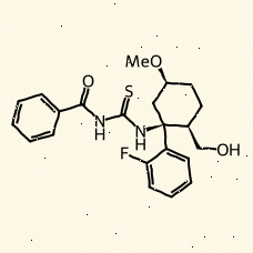 CO[C@H]1CC[C@@H](CO)[C@](NC(=S)NC(=O)c2ccccc2)(c2ccccc2F)C1